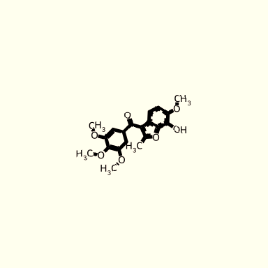 COC1=CC(C(=O)c2c(C)oc3c(O)c(OC)ccc23)CC(OC)=C1OC